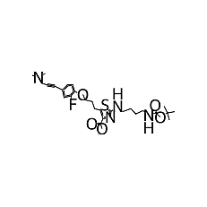 COC(=O)c1nc(NCCCCNC(=O)OC(C)(C)C)sc1CCCOc1ccc(C#CCN(C)C)cc1F